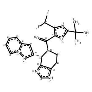 CC(C)(O)c1nc(C(F)F)c(C(=O)N2CCc3[nH]cnc3[C@@H]2c2cc3ccccn3n2)o1